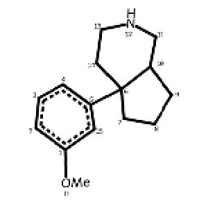 COc1cccc(C23CCCC2CNCC3)c1